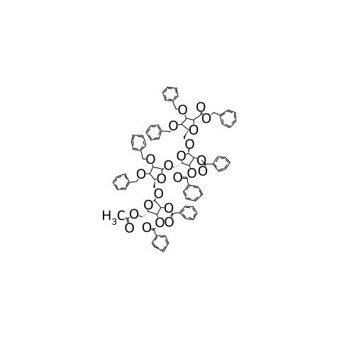 CC(=O)OC[C@@H]1O[C@@H](OC[C@@H]2O[C@H](OC[C@@H]3O[C@@H](OC[C@@H]4OC(C(=O)OCc5ccccc5)C(OCc5ccccc5)C4OCc4ccccc4)C(OC(=O)c4ccccc4)C3OC(=O)c3ccccc3)C(OCc3ccccc3)C2OCc2ccccc2)C(OC(=O)c2ccccc2)C1OC(=O)c1ccccc1